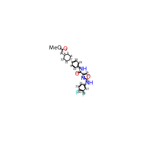 COC(=O)C[C@H]1CC[C@H](c2ccc(NC(=O)c3coc(Nc4ccc(F)c(F)c4)n3)cc2)CC1